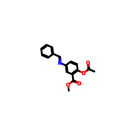 COC(=O)c1cc(N=Cc2ccccc2)ccc1OC(C)=O